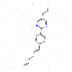 C=CCC/C=C/c1ccc(-c2ncc(CCC)cn2)cc1